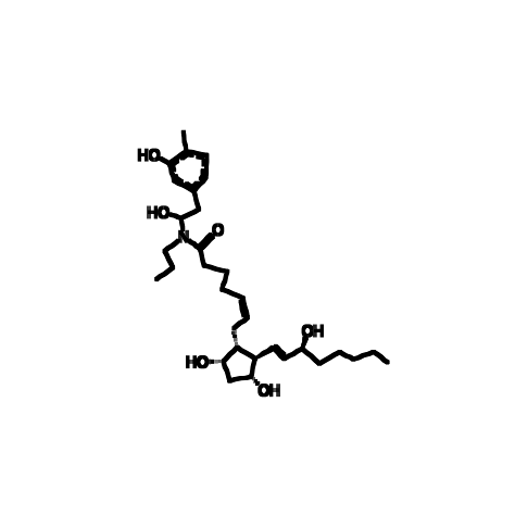 CCCCC[C@H](O)/C=C/[C@@H]1[C@@H](C/C=C\CCCC(=O)N(CCC)C(O)Cc2ccc(C)c(O)c2)[C@@H](O)C[C@H]1O